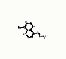 ON=Cc1ccnc2c(Br)cccc12